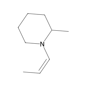 C/C=C\N1CCCCC1C